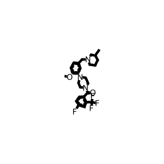 COc1ccc(CN2CCCC(C)C2)cc1N1CCN(C(=O)c2ccc(F)cc2C(F)(F)F)CC1